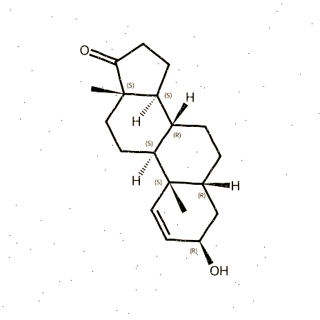 C[C@]12C=C[C@H](O)C[C@H]1CC[C@@H]1[C@@H]2CC[C@]2(C)C(=O)CC[C@@H]12